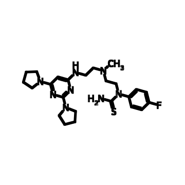 CN(CCNc1cc(N2CCCC2)nc(N2CCCC2)n1)CCN(C(N)=S)c1ccc(F)cc1